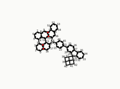 c1ccc(-c2cccc3cccc(-c4ccccc4N(c4ccc(-c5ccc6c(c5)C5(c7ccccc7-6)C6CC7CC8CC5C786)cc4)c4ccc5ccccc5c4)c23)cc1